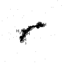 CN(CCCOCCCc1cccc2c1oc(=O)n2C1CCC(=O)NC1=O)C(=O)c1ccc(-n2cc(NC(=O)c3coc(-c4ccnc(NCC(F)(F)F)c4)n3)c(CC(N)=O)n2)cc1